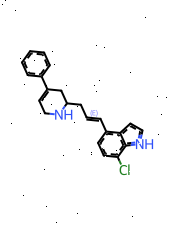 Clc1ccc(/C=C/CC2CC(c3ccccc3)=CCN2)c2cc[nH]c12